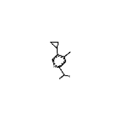 Cc1cc(C(C)I)ncc1C1CC1